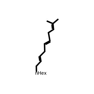 [CH2]CCCCCCC=CCC=CCC=C(C)C